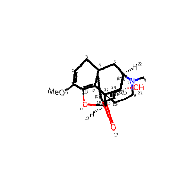 COC1=CCC2C[C@H]3N(C)CC[C@]45C2=C1O[C@H]4C(=O)C=C[C@@]35O